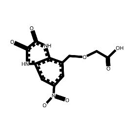 O=C(O)COCc1cc([N+](=O)[O-])cc2[nH]c(=O)c(=O)[nH]c12